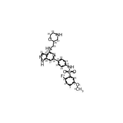 COc1ccc(F)c(S(=O)(=O)Nc2ccc(-c3cc4[nH]ncc4c(NCC4CNCCO4)n3)cc2)c1